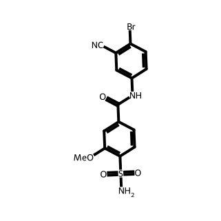 COc1cc(C(=O)Nc2ccc(Br)c(C#N)c2)ccc1S(N)(=O)=O